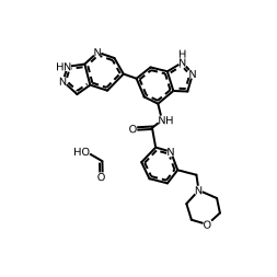 O=C(Nc1cc(-c2cnc3[nH]ncc3c2)cc2[nH]ncc12)c1cccc(CN2CCOCC2)n1.O=CO